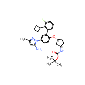 Cc1cc(N)n(-c2ccc(O[C@@H]3CC[C@@H](NC(=O)OC(C)(C)C)C3)c(-c3cccc(F)c3C3CCC3)c2)n1